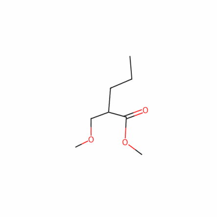 CCCC(COC)C(=O)OC